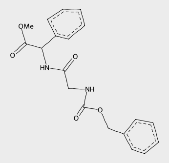 COC(=O)C(NC(=O)CNC(=O)OCc1ccccc1)c1ccccc1